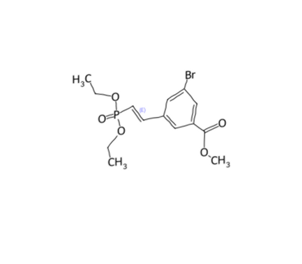 CCOP(=O)(/C=C/c1cc(Br)cc(C(=O)OC)c1)OCC